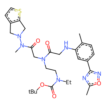 CCN(CCN(CC(=O)N(C)N1Cc2ccsc2C1)C(=O)CNc1cc(-c2noc(C)n2)ccc1C)C(=O)OC(C)(C)C